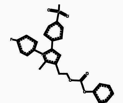 Cc1c(CCOC(=O)Oc2ccccc2)cc(-c2ccc(S(C)(=O)=O)cc2)n1-c1ccc(F)cc1